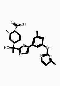 Cc1cc(Nc2nccc(C)n2)cc(-c2cnc(C(C)(O)[C@@H]3CC[C@@H](C(=O)O)[C@@H](C)C3)s2)c1